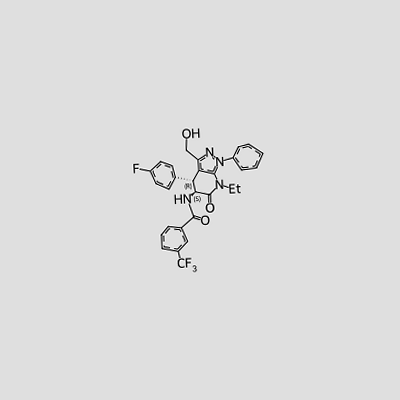 CCN1C(=O)[C@@H](NC(=O)c2cccc(C(F)(F)F)c2)[C@H](c2ccc(F)cc2)c2c(CO)nn(-c3ccccc3)c21